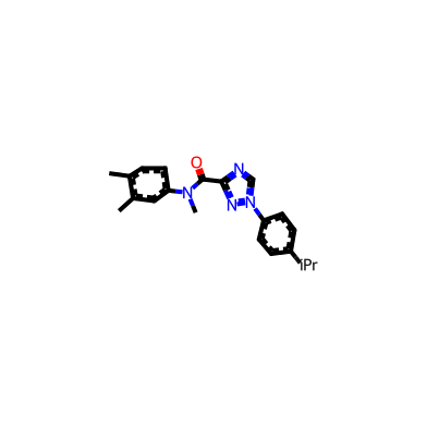 Cc1ccc(N(C)C(=O)c2ncn(-c3ccc(C(C)C)cc3)n2)cc1C